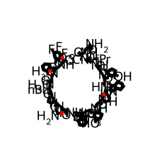 CCCC[C@H]1C(=O)N2CCC[C@@H]2C(=O)N2C[C@H](N)C[C@H]2C(=O)N[C@@H](C(C)C)C(=O)N(C)[C@@H](Cc2ccccc2)C(=O)N[C@@H](Cc2ccc(O)cc2)C(=O)N2CCCC[C@@H]2C(=O)N[C@@H](Cc2c[nH]c3ccccc23)C(=O)N[C@@H](Cc2ccc(O)cc2)C(=O)N[C@@H](CC(C)C)C(=O)N[C@H](C(=O)NCC(N)=O)CSCC(=O)N[C@@H](Cc2cc(F)c(F)c(F)c2)C(=O)N(C)[C@@H](Cc2ccccc2)C(=O)N1C